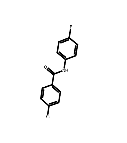 O=C(Nc1ccc(F)cc1)c1ccc(Cl)cc1